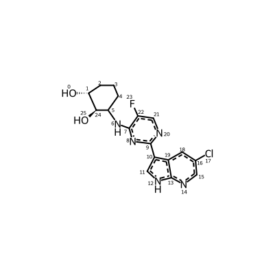 O[C@@H]1CCCC(Nc2nc(-c3c[nH]c4ncc(Cl)cc34)ncc2F)[C@H]1O